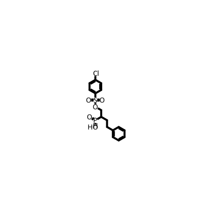 O=[PH](O)C(CCc1ccccc1)COS(=O)(=O)c1ccc(Cl)cc1